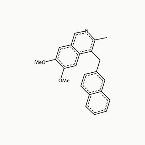 COc1cc2cnc(C)c(Cc3ccc4ccccc4c3)c2cc1OC